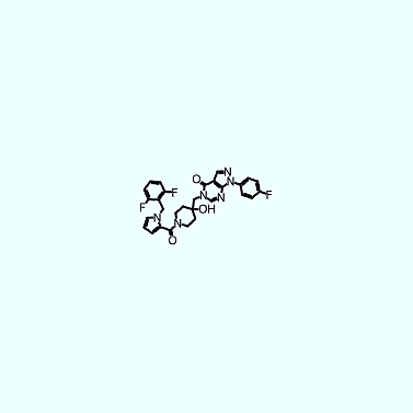 O=C(c1cccn1Cc1c(F)cccc1F)N1CCC(O)(Cn2cnc3c(cnn3-c3ccc(F)cc3)c2=O)CC1